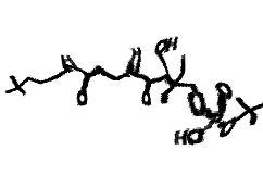 CC(C)(C)CCNC(=O)CCNC(=O)[C@@H](O)C(C)(C)COP(=O)(O)OC(C)(C)C